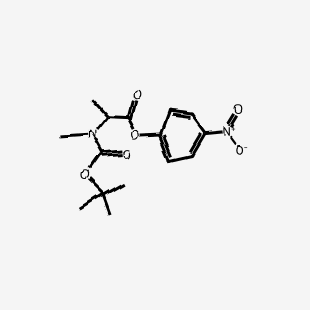 CC(C(=O)Oc1ccc([N+](=O)[O-])cc1)N(C)C(=O)OC(C)(C)C